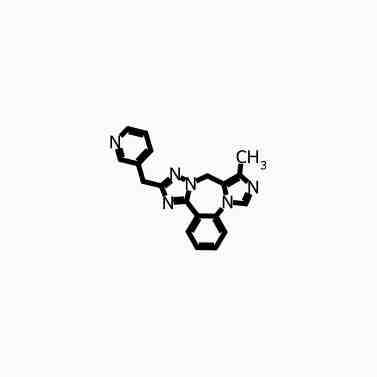 Cc1ncn2c1Cn1nc(Cc3cccnc3)nc1-c1ccccc1-2